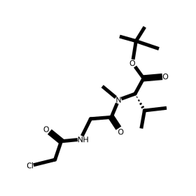 CC(C)[C@@H](C(=O)OC(C)(C)C)N(C)C(=O)CNC(=O)CCl